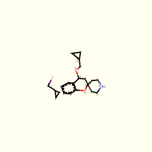 ICC1CC1.c1ccc2c(c1)OC1(CCNCC1)CC2OCC1CC1